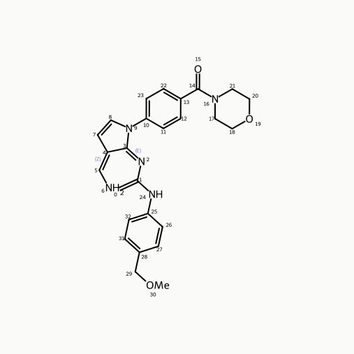 C=C(/N=C1\C(=C/N)C=CN1c1ccc(C(=O)N2CCOCC2)cc1)Nc1ccc(COC)cc1